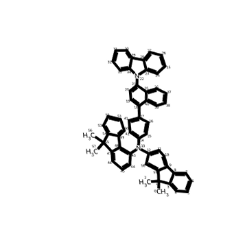 CC1(C)c2ccccc2-c2ccc(N(c3ccc(-c4ccc(-n5c6ccccc6c6ccccc65)c5ccccc45)cc3)c3cccc4c3-c3ccccc3C4(C)C)cc21